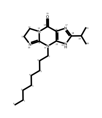 CCCCCCCCN1C2=NCCN2C(=O)c2nc(C(C)C)[nH]c21